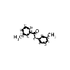 Cc1cccc(CC(=O)c2cccc(C)c2)c1